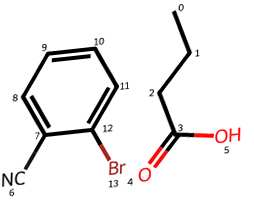 CCCC(=O)O.N#Cc1ccccc1Br